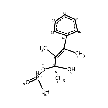 C/C(=C(/C)[C@@](C)(O)O[PH](=O)O)c1ccccc1